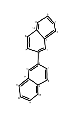 [c]1ccc2cc(-c3ccc4ccccc4c3)ccc2c1